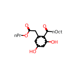 CCCCCCCCC(=O)c1c(O)cc(O)cc1CC(=O)OCCC